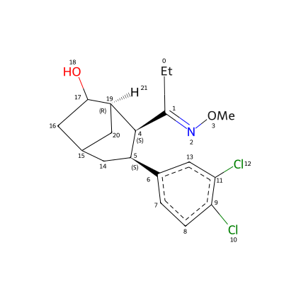 CCC(=NOC)[C@H]1[C@@H](c2ccc(Cl)c(Cl)c2)CC2CC(O)[C@@H]1C2